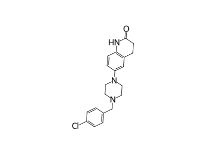 O=C1CCc2cc(N3CCN(Cc4ccc(Cl)cc4)CC3)ccc2N1